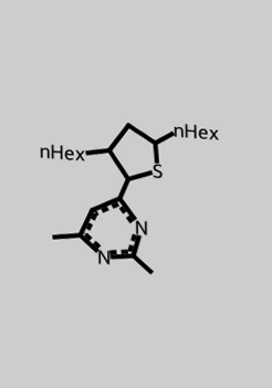 CCCCCCC1CC(CCCCCC)C(c2cc(C)nc(C)n2)S1